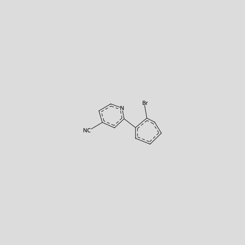 N#Cc1ccnc(-c2ccccc2Br)c1